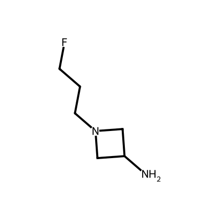 NC1CN(CCCF)C1